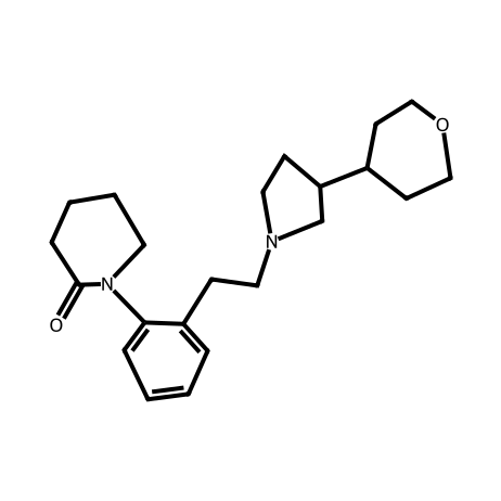 O=C1CCCCN1c1ccccc1CCN1CCC(C2CCOCC2)C1